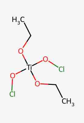 CC[O][Ti]([O]Cl)([O]Cl)[O]CC